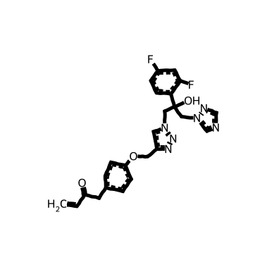 C=CC(=O)Cc1ccc(OCc2cn(CC(O)(Cn3cncn3)c3ccc(F)cc3F)nn2)cc1